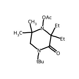 CCC1(CC)C(=O)N(C(C)(C)C)CC(C)(C)N1OC(C)=O